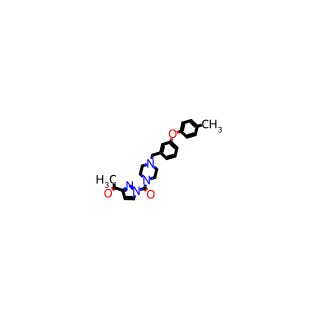 CC(=O)c1ccn(C(=O)N2CCN(Cc3cccc(Oc4ccc(C)cc4)c3)CC2)n1